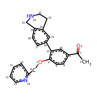 CC(=O)c1ccc(OCc2ccccn2)c(-c2ccc3c(c2)CCNC3)c1